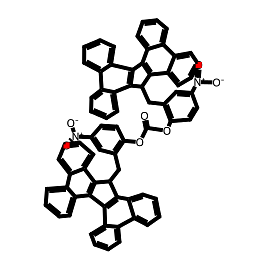 O=C(Oc1ccc([N+](=O)[O-])cc1CC1c2c(c3ccccc3c3ccccc23)-c2c1c1ccccc1c1ccccc21)Oc1ccc([N+](=O)[O-])cc1CC1c2c(c3ccccc3c3ccccc23)-c2c1c1ccccc1c1ccccc21